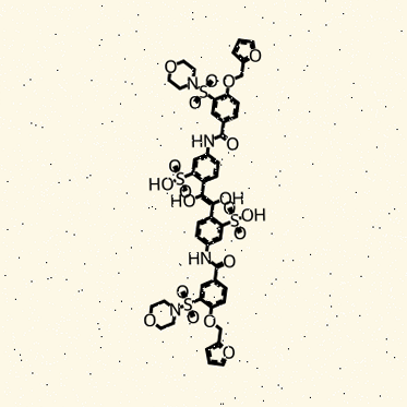 O=C(Nc1ccc(/C(O)=C(\O)c2ccc(NC(=O)c3ccc(OCc4ccco4)c(S(=O)(=O)N4CCOCC4)c3)cc2S(=O)(=O)O)c(S(=O)(=O)O)c1)c1ccc(OCc2ccco2)c(S(=O)(=O)N2CCOCC2)c1